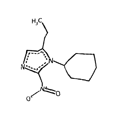 CCc1cnc([N+](=O)[O-])n1C1CCCCC1